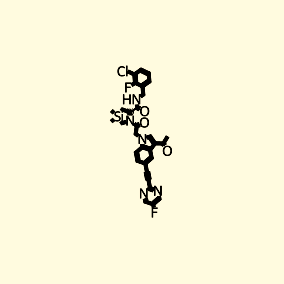 CC(=O)c1cn(CC(=O)N2C[Si](C)(C)C[C@H]2C(=O)NCc2cccc(Cl)c2F)c2ccc(C#Cc3ncc(F)cn3)cc12